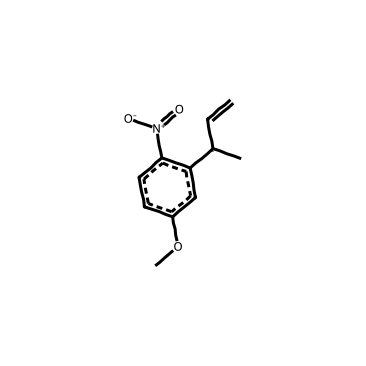 C=C[C](C)c1cc(OC)ccc1[N+](=O)[O-]